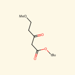 COCCC(=O)CC(=O)OC(C)(C)C